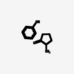 CC1CCCC1=O.Oc1ccccc1